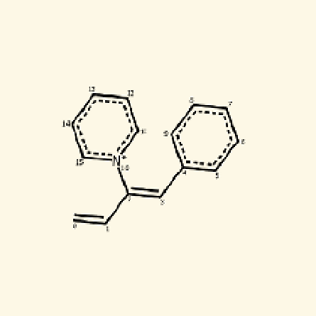 C=CC(=Cc1ccccc1)[n+]1ccccc1